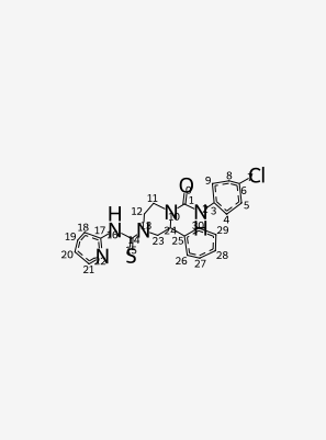 O=C(Nc1ccc(Cl)cc1)N1CCN(C(=S)Nc2ccccn2)CC1c1ccccc1